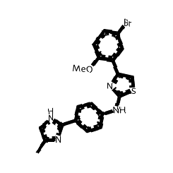 COc1ccc(Br)cc1-c1csc(Nc2ccc(-c3nc(C)c[nH]3)cc2)n1